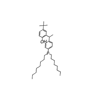 CCCCCCCCP(CCCCCCCC)c1ccc(C(C)c2cc(C(C)(C)C)ccc2O)cc1